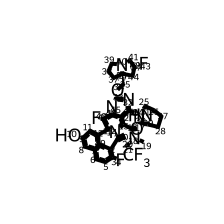 C#Cc1c(F)ccc2cc(O)cc(-c3nc(C(=O)N(C)CC(F)(F)F)c4c(N5CC6CCC(C5)N6)nc(OC[C@@]56CCCN5C[C@H](F)C6)nc4c3F)c12